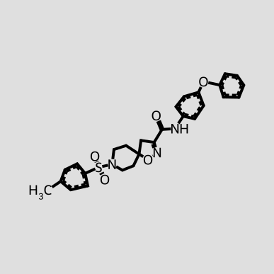 Cc1ccc(S(=O)(=O)N2CCC3(CC2)CC(C(=O)Nc2ccc(Oc4ccccc4)cc2)=NO3)cc1